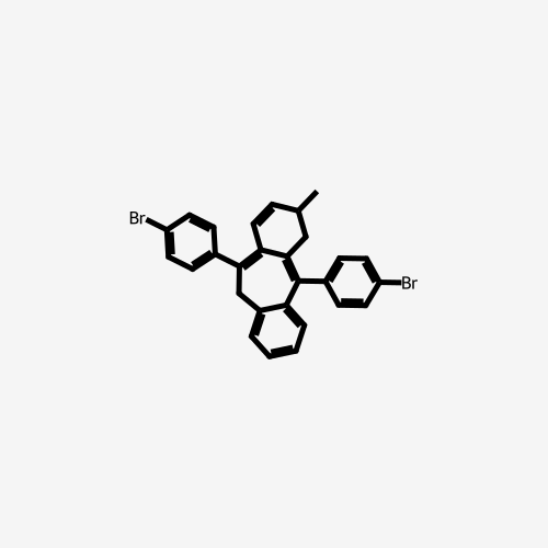 CC1C=CC2=C(c3ccc(Br)cc3)Cc3ccccc3C(c3ccc(Br)cc3)=C2C1